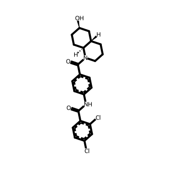 O=C(Nc1ccc(C(=O)N2CCC[C@H]3C[C@H](O)CC[C@@H]32)cc1)c1ccc(Cl)cc1Cl